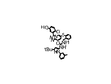 Cc1cccc(-n2nc(C(C)(C)C)cc2NC(=O)NCc2ccccc2Sc2ccc3nnc(-c4cc(O)ccc4Cl)n3c2)c1